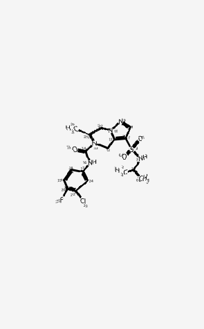 CC(C)NS(=O)(=O)c1cnn2c1CN(C(=O)Nc1ccc(F)c(Cl)c1)[C@@H](C)C2